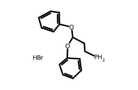 Br.PCCC(Oc1ccccc1)Oc1ccccc1